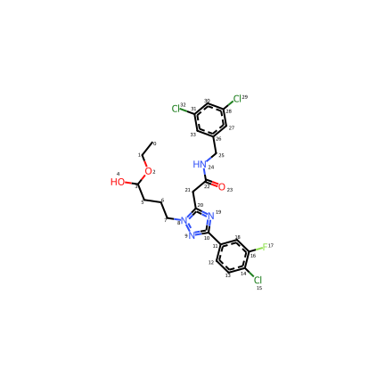 CCOC(O)CCCn1nc(-c2ccc(Cl)c(F)c2)nc1CC(=O)NCc1cc(Cl)cc(Cl)c1